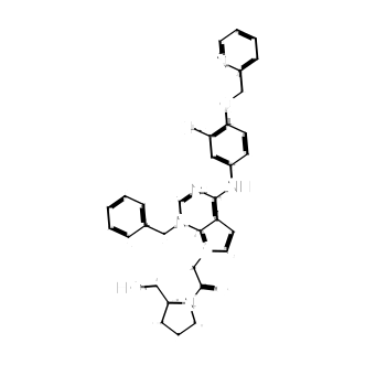 O=C(CS1=C2C(=C(Nc3ccc(OCc4ccccn4)c(Cl)c3)N=CN2Cc2ccccc2)C=C1)N1CCCC1CO